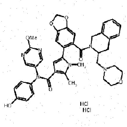 COc1ncc(N(C(=O)c2cc(-c3cc4c(cc3C(=O)N3Cc5ccccc5C[C@H]3CN3CCOCC3)OCO4)n(C)c2C)c2ccc(O)cc2)cn1.Cl.Cl